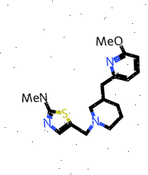 CNc1ncc(CN2CCCC(Cc3cccc(OC)n3)C2)s1